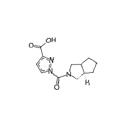 O=C(O)c1ccn(C(=O)N2CC3CCC[C@H]3C2)n1